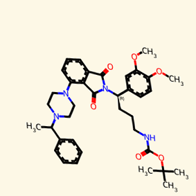 COc1ccc([C@@H](CCCNC(=O)OC(C)(C)C)N2C(=O)c3cccc(N4CCN(C(C)c5ccccc5)CC4)c3C2=O)cc1OC